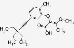 CC[Si](C#Cc1ccc(C)c(OC(C(=O)O)=C(C)OC)c1)(CC)CC